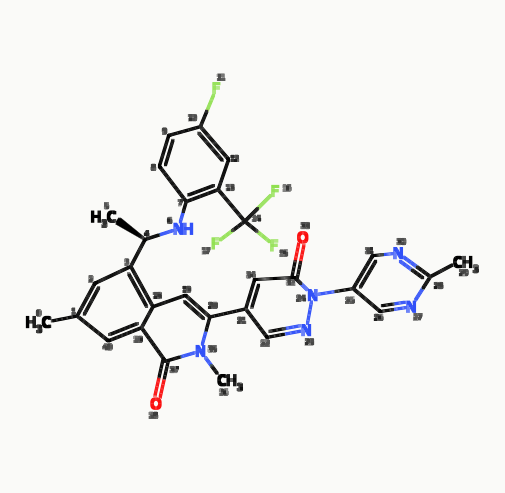 Cc1cc([C@@H](C)Nc2ccc(F)cc2C(F)(F)F)c2cc(-c3cnn(-c4cnc(C)nc4)c(=O)c3)n(C)c(=O)c2c1